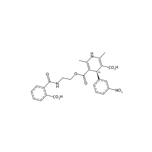 CC1=C(C(=O)O)[C@@H](c2cccc([N+](=O)[O-])c2)C(C(=O)OCCNC(=O)c2ccccc2C(=O)O)=C(C)N1